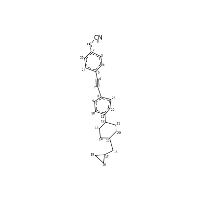 N#CSc1ccc(C#Cc2ccc(C3CCC(CC4CC4)CC3)cc2)cc1